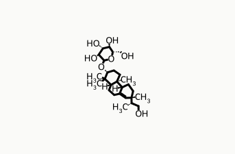 C[C@@H](CO)[C@]1(C)C=C2CC[C@@H]3C(C)(C)[C@H](OC4O[C@@H](CO)[C@H](O)[C@@H](O)[C@@H]4O)CC[C@@]3(C)[C@@H]2CC1